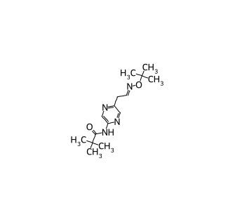 CC(C)(C)ON=CCc1cnc(NC(=O)C(C)(C)C)cn1